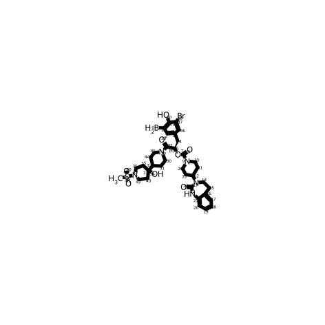 Bc1cc(C[C@@H](OC(=O)N2CCC(N3CCc4ccccc4NC3=O)CC2)C(=O)N2CCC(C3(O)CCN(S(C)(=O)=O)CC3)CC2)cc(Br)c1O